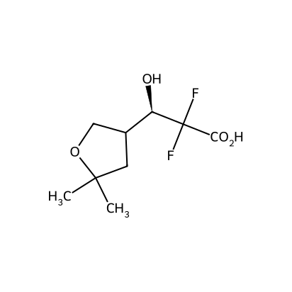 CC1(C)CC([C@@H](O)C(F)(F)C(=O)O)CO1